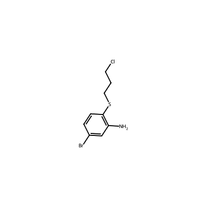 Nc1cc(Br)ccc1SCCCCl